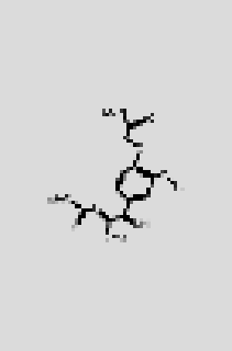 CCOc1cc(C(=N)C(=NC(=O)OC)SC)ccc1OCC(=O)NC